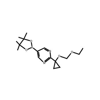 CCOCOC1(c2ncc(B3OC(C)(C)C(C)(C)O3)cn2)CC1